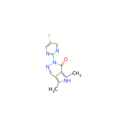 Cc1[nH]c(C)c2c(=O)n(-c3ncc(F)cn3)ncc12